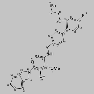 CO[C@@H](C(=O)NCc1ccc(-c2ccc(F)cc2OCCC(C)(C)C)cc1)[C@@H](O)C(=O)N1Cc2cccnc2C1